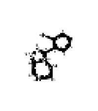 Fc1ccccc1-c1nnc2cnccn12